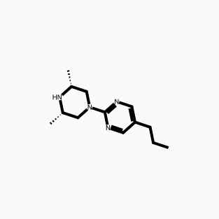 CCCc1cnc(N2C[C@@H](C)N[C@@H](C)C2)nc1